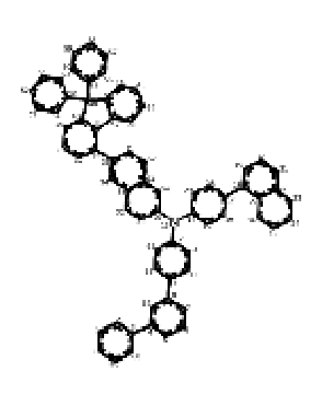 c1ccc(-c2cccc(-c3ccc(N(c4ccc(-c5cccc6ccccc56)cc4)c4ccc5cc(-c6cccc7c6-c6ccccc6C7(c6ccccc6)c6ccccc6)ccc5c4)cc3)c2)cc1